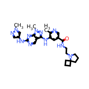 Cc1ncc(C(=O)NCCN2CCCC23CCC3)cc1Nc1nn(C)c2nc(Nc3cnn(C)c3)ncc12